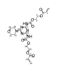 C=CC(=O)OCCOC(=O)Nc1nc(NC(=O)OCCOC(=O)C=C)nc(N2CCOCC2)n1